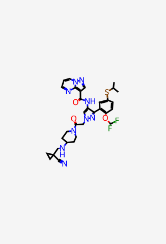 CC(C)Sc1ccc(OC(F)F)c(-c2nn(CC(=O)N3CCC(NCC4(C#N)CC4)CC3)cc2NC(=O)c2cnn3cccnc23)c1